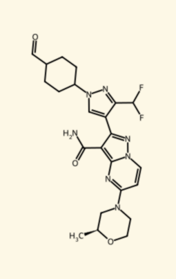 C[C@H]1CN(c2ccn3nc(-c4cn(C5CCC(C=O)CC5)nc4C(F)F)c(C(N)=O)c3n2)CCO1